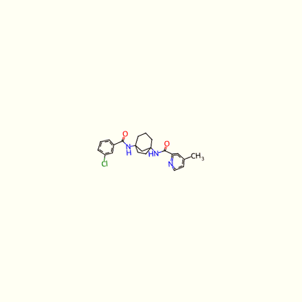 Cc1ccnc(C(=O)NC23CCCC(NC(=O)c4cccc(Cl)c4)(CC2)C3)c1